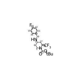 CC(C)(C)OC(=O)N1CCC(NCc2ccc(F)cc2)CC1C(F)(F)F